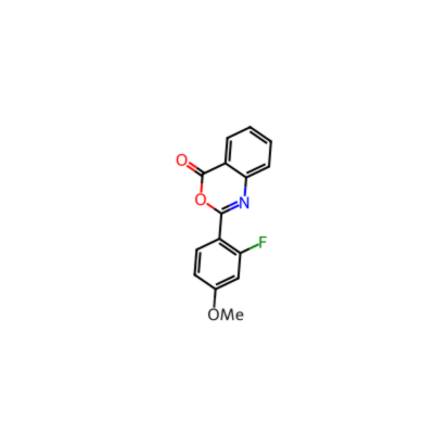 COc1ccc(-c2nc3ccccc3c(=O)o2)c(F)c1